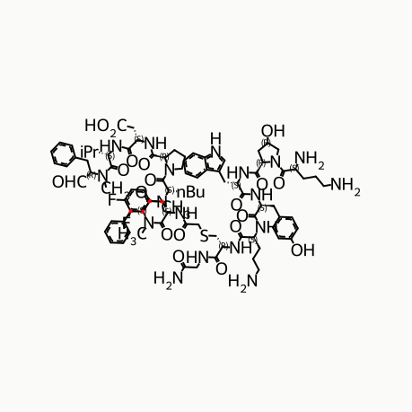 CCCC[C@@H](C(=O)N1CCC[C@@H]1C(=O)N[C@@H](CC(=O)O)C(=O)N[C@H](C(=O)N(C)[C@@H](C=O)Cc1ccccc1)C(C)C)N(C)C(=O)[C@H](Cc1ccccc1)N(C)C(=O)[C@H](Cc1ccc(F)c(F)c1)NC(=O)CSC[C@H](NC(=O)[C@H](CCCN)NC(=O)[C@H](Cc1ccc(O)cc1)NC(=O)[C@H](Cc1c[nH]c2ccccc12)NC(=O)[C@H]1C[C@@H](O)CN1C(=O)[C@@H](N)CCCN)C(=O)NCC(N)=O